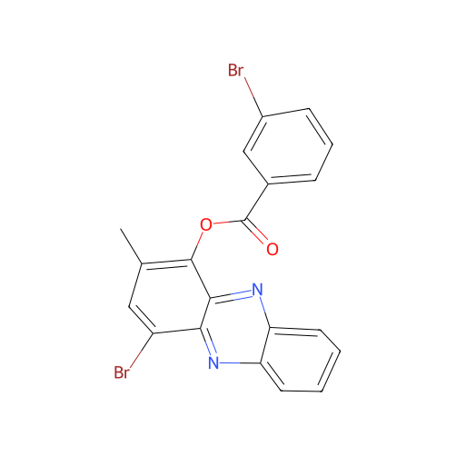 Cc1cc(Br)c2nc3ccccc3nc2c1OC(=O)c1cccc(Br)c1